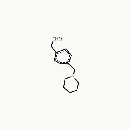 O=CCc1ccc(CN2CCCCC2)cc1